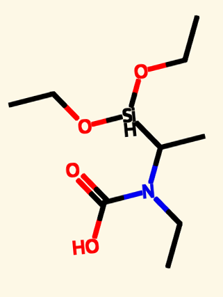 CCO[SiH](OCC)C(C)N(CC)C(=O)O